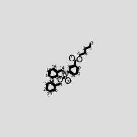 CCCCCOC(=O)c1cccc(N(Cc2ccccc2)C(=O)OCc2ccccc2)c1